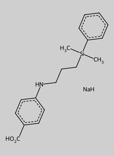 C[Si](C)(CCCNc1ccc(C(=O)O)cc1)c1ccccc1.[NaH]